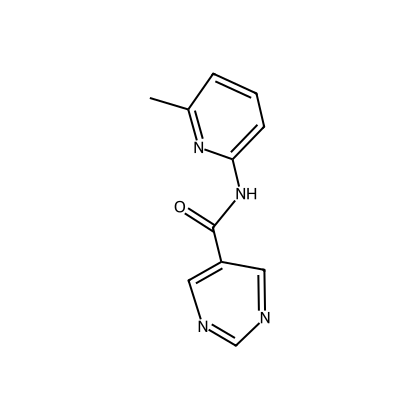 Cc1cccc(NC(=O)c2cncnc2)n1